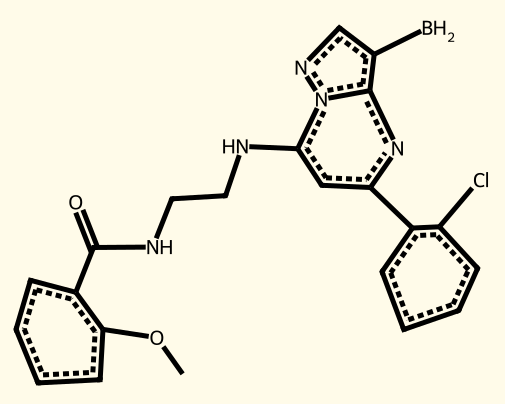 Bc1cnn2c(NCCNC(=O)c3ccccc3OC)cc(-c3ccccc3Cl)nc12